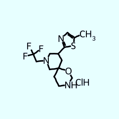 Cc1cnc(C2CN(CC(F)(F)F)CC3(CCNCO3)C2)s1.Cl